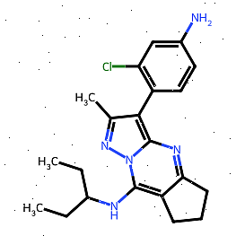 CCC(CC)Nc1c2c(nc3c(-c4ccc(N)cc4Cl)c(C)nn13)CCC2